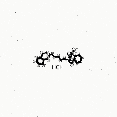 Cl.O=[N+]([O-])c1ccccc1S(=O)(=O)NCCCCCN1CCc2ccccc2C1